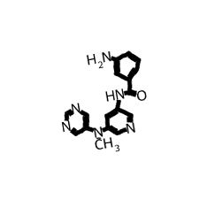 CN(c1cncnc1)c1cncc(NC(=O)c2cccc(N)c2)c1